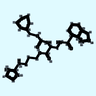 O=C(NC(CNC(=O)c1cccc2cn[nH]c12)C(=O)OCCCNc1ncc[nH]1)OCc1ccccc1